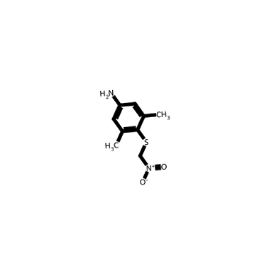 Cc1cc(N)cc(C)c1SC[N+](=O)[O-]